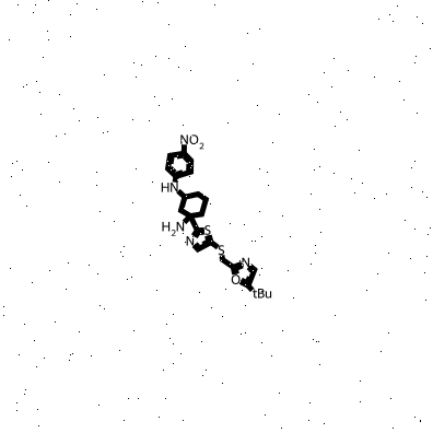 CC(C)(C)c1cnc(CSc2cnc(C3(N)CCCC(Nc4ccc([N+](=O)[O-])cc4)C3)s2)o1